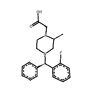 CC1CN([C@H](c2ccccc2)c2ccccc2F)CCN1CC(=O)O